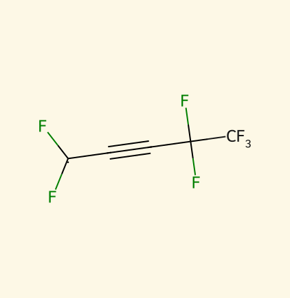 F[C](F)C#CC(F)(F)C(F)(F)F